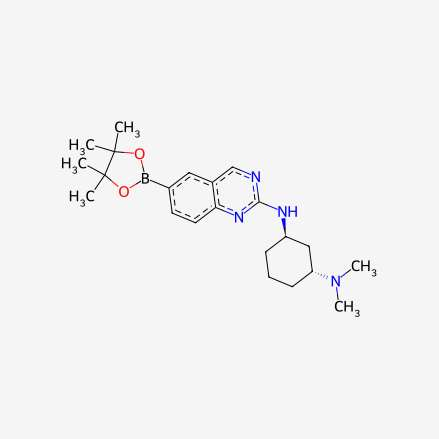 CN(C)[C@@H]1CCC[C@@H](Nc2ncc3cc(B4OC(C)(C)C(C)(C)O4)ccc3n2)C1